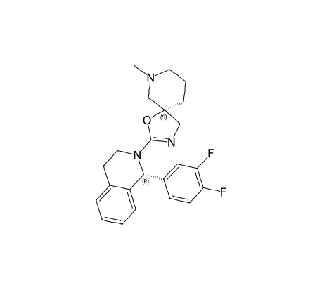 CN1CCC[C@@]2(CN=C(N3CCc4ccccc4[C@H]3c3ccc(F)c(F)c3)O2)C1